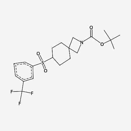 CC(C)(C)OC(=O)N1CC2(CCC(S(=O)(=O)c3cccc(C(F)(F)F)c3)CC2)C1